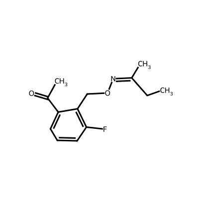 CCC(C)=NOCc1c(F)cccc1C(C)=O